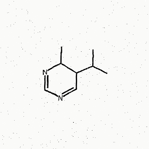 CC(C)C1C=NC=NC1C